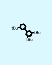 CC(C)(C)c1cccc(-c2cc(C(C)(C)C)cc(C(C)(C)C)c2)c1